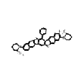 CC1CCCCN1c1ccc2cc3c(cc2c1)oc1c(-c2ccccc2)c2c(cc13)oc1cc3cc(N4CCCCC4C)ccc3cc12